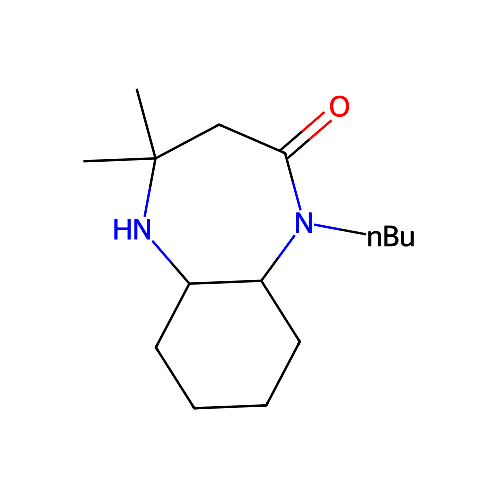 CCCCN1C(=O)CC(C)(C)NC2CCCCC21